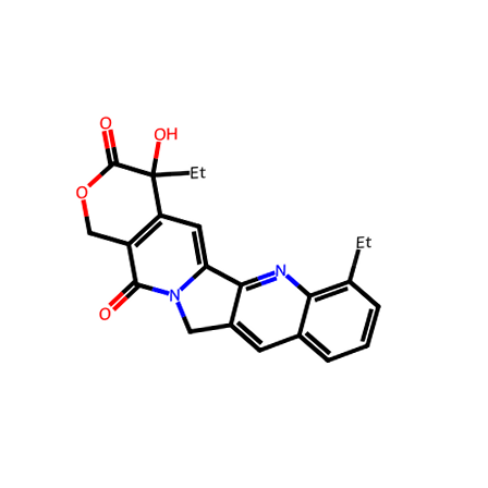 CCc1cccc2cc3c(nc12)-c1cc2c(c(=O)n1C3)COC(=O)C2(O)CC